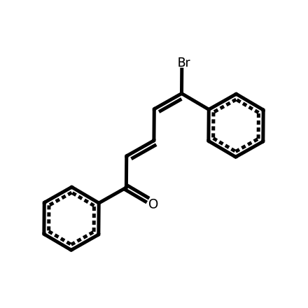 O=C(/C=C/C=C(/Br)c1ccccc1)c1ccccc1